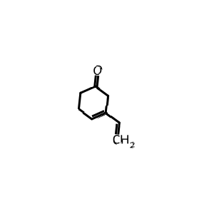 C=CC1=CCCC(=O)C1